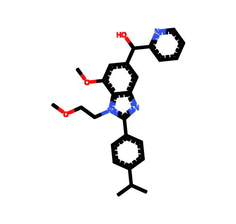 COCCn1c(-c2ccc(C(C)C)cc2)nc2cc(C(O)c3ccccn3)cc(OC)c21